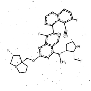 C#Cc1c(F)ccc2cccc(-c3ncc4c(N(C)[C@@H]5CCN[C@@H]5CF)nc(OC[C@@]56CCCN5C[C@H](F)C6)nc4c3F)c12